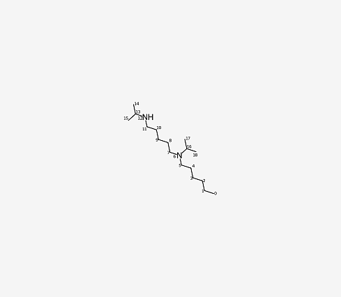 CCCCCCN(CCCCCNC(C)C)C(C)C